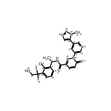 C[C@@H](NC(=O)c1ccc(=O)n(-c2cncc(-c3cnnn3C)c2)n1)c1cccc(C(F)(F)CO)c1Cl